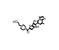 Cc1cc(-c2[nH]c3cc(C(=O)N4CCN(CCO)CC4)sc3c2C(C)C)cn2ncnc12